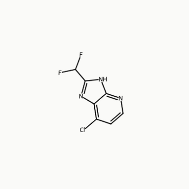 FC(F)c1nc2c(Cl)ccnc2[nH]1